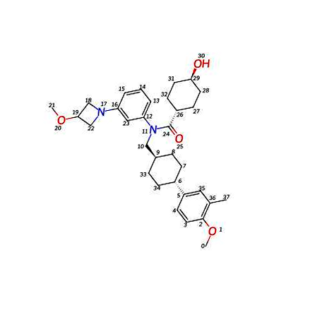 COc1ccc([C@H]2CC[C@H](CN(c3cccc(N4CC(OC)C4)c3)C(=O)[C@H]3CC[C@H](O)CC3)CC2)cc1C